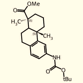 COC(=O)[C@@]1(C)CCC[C@]2(C)c3cc(NC(=O)OC(C)(C)C)ccc3CCC12